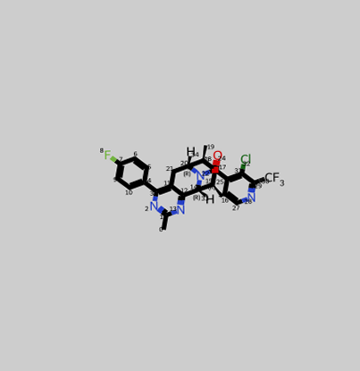 Cc1nc(-c2ccc(F)cc2)c2c(n1)[C@H]1[C@H](C)C[C@H](C)[C@@H](C2)N1C(=O)c1ccnc(C(F)(F)F)c1Cl